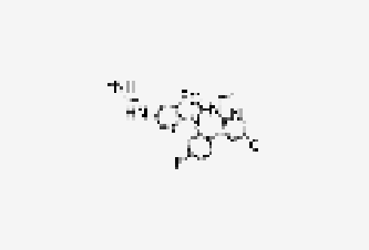 CCN1C(=O)N(c2c(F)cc(NCCNC)cc2F)c2cc(F)ccc2-c2cc(Cl)cnc21